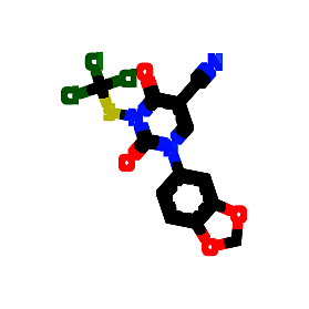 N#Cc1cn(-c2ccc3c(c2)OCO3)c(=O)n(SC(Cl)(Cl)Cl)c1=O